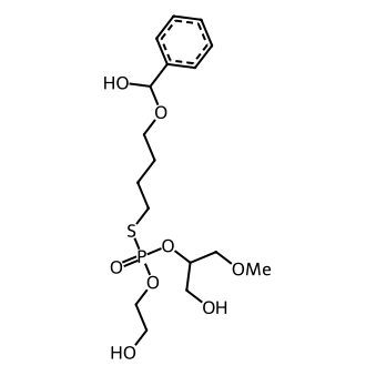 COCC(CO)OP(=O)(OCCO)SCCCCOC(O)c1ccccc1